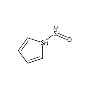 O=[SH][SH]1C=CC=C1